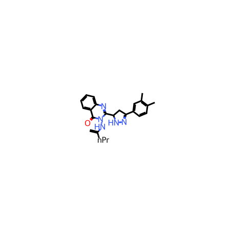 C=C(CCC)Nn1c(C2CC(c3ccc(C)c(C)c3)=NN2)nc2ccccc2c1=O